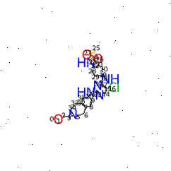 COCCN1CCc2ccc(Nc3ncc(Cl)c(NC4CCC(NS(C)(=O)=O)CC4)n3)cc2CC1